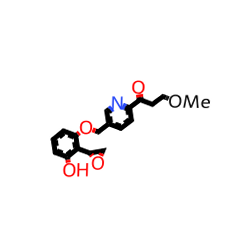 COCCC(=O)c1ccc(COc2cccc(O)c2C2CO2)cn1